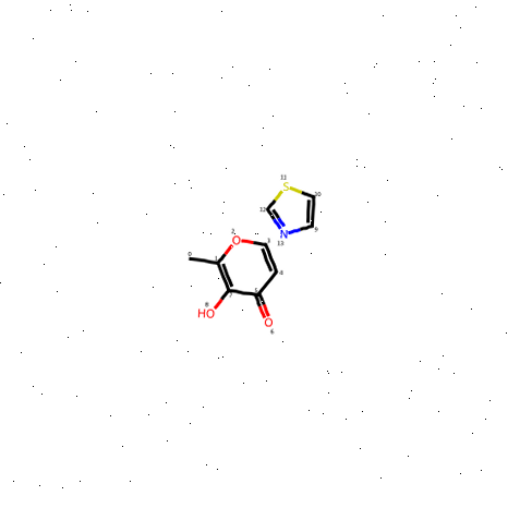 Cc1occc(=O)c1O.c1cscn1